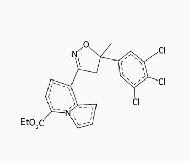 CCOC(=O)c1ccc(C2=NOC(C)(c3cc(Cl)c(Cl)c(Cl)c3)C2)c2cccn12